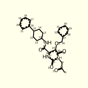 CC(=O)Cn1c(=O)[nH]c(C(=O)NC2CCC(c3ccccc3)CC2)c(OCc2ccccc2)c1=O